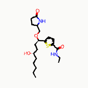 CCCCC[C@H](O)CC[C@@H](OCC1CCC(=O)N1)c1ccc(C(=O)NCC)s1